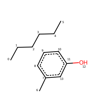 CCCCCC.Cc1cccc(O)c1